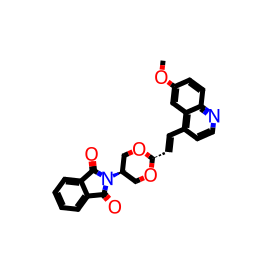 COc1ccc2nccc(/C=C/[C@H]3OC[C@H](N4C(=O)c5ccccc5C4=O)CO3)c2c1